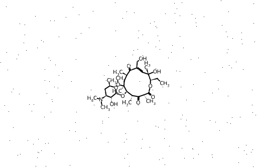 CC[C@H]1OC(=O)[C@H](C)C(=O)[C@H](C)[C@@H](O[C@@H]2O[C@H](C)C[C@H](N(C)C)[C@H]2O)[C@@](C)(OC)C[C@@H](C)C(=O)/C(CO)=C/[C@]1(C)O